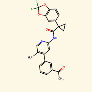 CC(=O)c1cccc(-c2cc(NC(=O)C3(c4ccc5c(c4)OC(F)(F)O5)CC3)ncc2C)c1